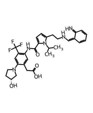 CC(C)n1c(CCN/C=C2/C=CC=CC2=N)ccc1C(=O)Nc1cc(CC(=O)O)c(N2CC[C@@H](O)C2)cc1C(F)(F)F